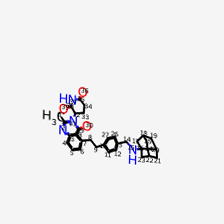 Cc1nc2cccc(CCc3ccc(CNC45CC6CC7CC(C4)C75C6)cc3)c2c(=O)n1C1CCC(=O)NC1=O